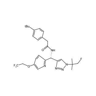 CC(C)(C)c1ccc(CC(=O)N[C@@H](c2ccc(OCC(F)(F)F)cn2)c2cn(C(C)(C)CF)nn2)cc1